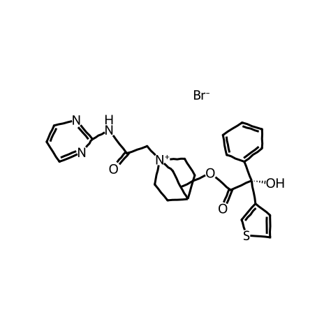 O=C(C[N+]12CCC(CC1)C(OC(=O)[C@@](O)(c1ccccc1)c1ccsc1)C2)Nc1ncccn1.[Br-]